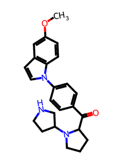 COc1ccc2c(ccn2-c2ccc(C(=O)C3CCCN3C3CCNC3)cc2)c1